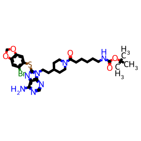 CC(C)(C)OC(=O)NCCCCCC(=O)N1CCC(CCn2c(Sc3cc4c(cc3Br)OCO4)nc3c(N)ncnc32)CC1